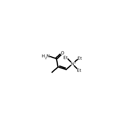 CC[N+](C=C(C)C(N)=O)(CC)CC